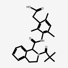 Cc1cc(C)c(NC(=O)C2c3ccccc3CCN2C(=O)C(C)(C)C)c(C)c1CC(=O)O